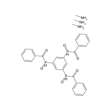 CN.CN.CN.O=C(c1ccccc1)[PH](=O)c1[c]c([PH](=O)C(=O)c2ccccc2)cc([PH](=O)C(=O)c2ccccc2)c1